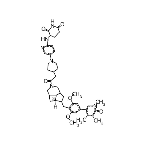 COc1cc(-c2cn(C)c(=O)c(C)c2C)cc(OC)c1CC1CC2CN(C(=O)CC3CCN(c4ccc(NC5CCC(=O)NC5=O)nc4)CC3)CC3C[C@H]1C23